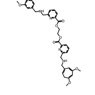 COC1=CC(CNCc2cccc(C(=O)OCCOC(=O)c3cccc(CNCc4cc(OC)cc(OC)c4)n3)n2)=CCC(OC)=C1